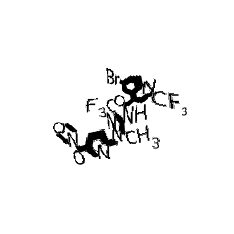 Cc1c(NC(=O)c2cc(C(F)(F)F)nc3ccc(Br)cc23)c(C(F)(F)F)nn1Cc1ccc(C(=O)N2CCOCC2)cn1